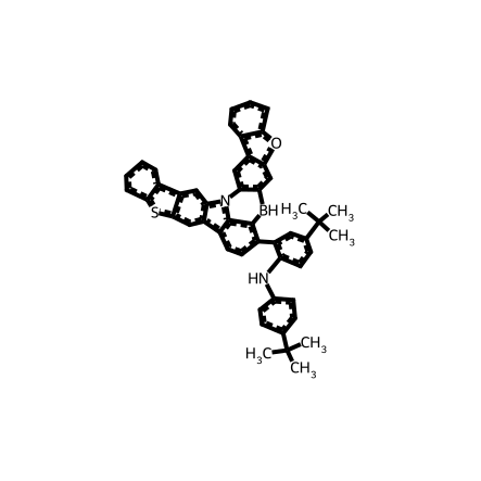 CC(C)(C)c1ccc(Nc2ccc(C(C)(C)C)cc2-c2ccc3c4cc5sc6ccccc6c5cc4n4c3c2Bc2cc3oc5ccccc5c3cc2-4)cc1